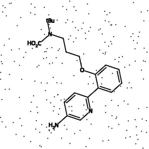 CC(C)(C)N(CCCOc1ccccc1-c1ccc(N)cn1)C(=O)O